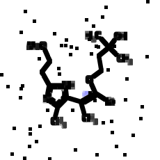 CC/C(OCCC(C)(C)O)=C(\C)c1[nH]c(CCOC)nc1C